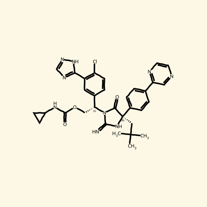 CC(C)(C)C[C@]1(c2ccc(-c3cnccn3)cc2)NC(=N)N([C@H](COC(=O)NC2CC2)c2ccc(Cl)c(-c3ncn[nH]3)c2)C1=O